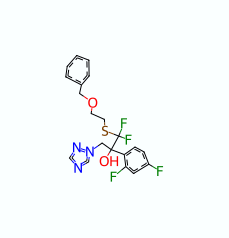 OC(Cn1cncn1)(c1ccc(F)cc1F)C(F)(F)SCCOCc1ccccc1